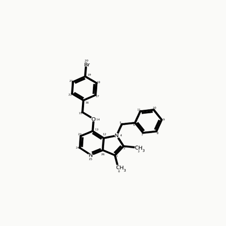 Cc1c(C)n(Cc2ccccc2)c2c(OCc3ccc(Br)cc3)ccnc12